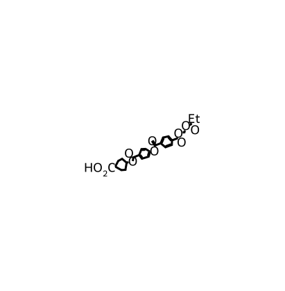 CCC(=O)OCOC(=O)c1ccc(C(=O)Oc2ccc(C(=O)OC3CCC(C(=O)O)CC3)cc2)cc1